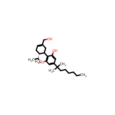 CCCCCCC(C)(C)c1cc(O)c(C2CC(CO)=CC[C@H]2C(C)C)c(O)c1